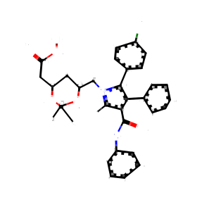 CC(C)c1c(C(=O)Nc2ccccc2)c(-c2ccccc2)c(-c2ccc(F)cc2)n1CC1CC(CC(=O)OC(C)(C)C)OC(C)(C)O1